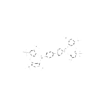 CC(C)(C)c1cc(C(C)(C)C)c2cc1Cc1cc(c(C(C)(C)C)cc1C(C)(C)C)OP(c1ccc(-c3ccc(P4Oc5cc(c(C(C)(C)C)cc5C(C)(C)C)Cc5cc(c(C(C)(C)C)cc5C(C)(C)C)O4)cc3)cc1)O2